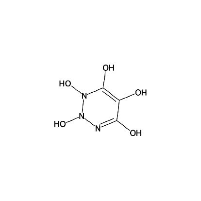 OC1=NN(O)N(O)C(O)=C1O